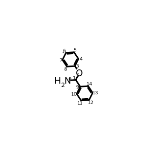 NC(Oc1cc[c]cc1)c1ccccc1